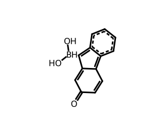 O=C1C=CC2=c3ccccc3=CC2=C1.OBO